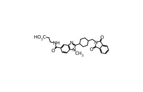 Cn1c(C2CCC(CN3C(=O)c4ccccc4C3=O)CC2)nc2cc(C(=O)NCCC(=O)O)ccc21